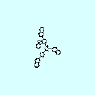 c1ccc2cc(-c3ccc(-c4nc(-c5ccc6ccccc6c5)nc(-c5ccc(-c6ccc7ccccc7c6)c6oc7ccccc7c56)n4)cc3)ccc2c1